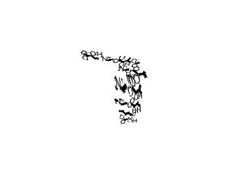 CC(=O)[O-].CC(C)C(O)C(=O)OCC[N+](C)(C)C.CC(C)C(O)C(=O)OCC[N+](C)(C)C.CC(C)C(O)C(=O)OCC[N+](C)(C)C.CC(C)C(O)C(=O)OCC[N+](C)(C)C.CCC(O)C(=O)[O-].CCCCC(=O)[O-].O=C([O-])CO